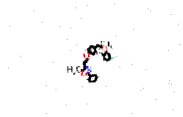 Cc1oc(C2CCCCC2)nc1CCOc1ccc(CC(C)(Oc2cccc(F)c2)C(=O)O)cc1